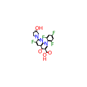 O=C(O)c1cn(-c2c(F)cc(F)cc2F)c2nc(N3CC[C@H](O)C3)c(F)cc2c1=O